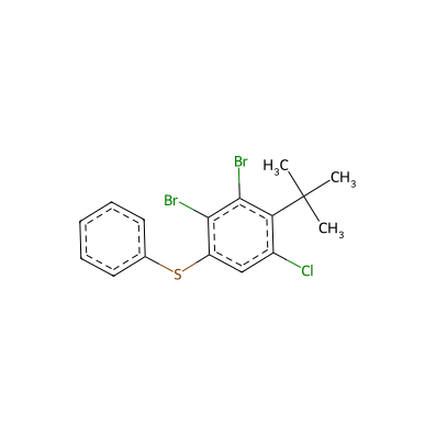 CC(C)(C)c1c(Cl)cc(Sc2ccccc2)c(Br)c1Br